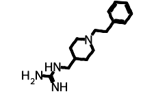 N=C(N)NCC1CCN(CCc2ccccc2)CC1